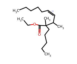 CCCCC/C=C\C(C)C(C)(CCCCC)C(=O)OCC